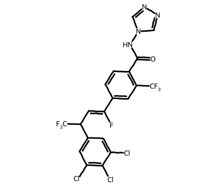 O=C(Nn1cnnc1)c1ccc(/C(F)=C/C(c2cc(Cl)c(Cl)c(Cl)c2)C(F)(F)F)cc1C(F)(F)F